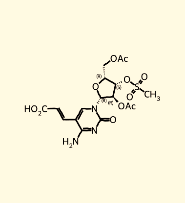 CC(=O)OC[C@H]1O[C@@H](n2cc(C=CC(=O)O)c(N)nc2=O)[C@H](OC(C)=O)[C@H]1OS(C)(=O)=O